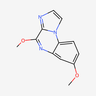 COc1ccc2c(c1)nc(OC)c1nccn12